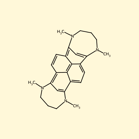 CN1CCCN(C)c2cc1c1ccc3c4cc(c5ccc2c1c35)N(C)CCCN4C